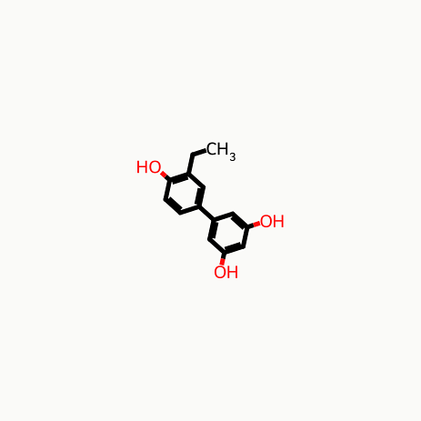 CCc1cc(-c2cc(O)cc(O)c2)ccc1O